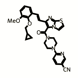 COc1cccc(C=Cc2nc3sccn3c2C(=O)N2CCN(c3ccc(C#N)cn3)CC2)c1OCC1CC1